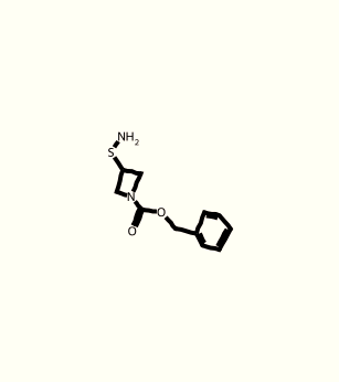 NSC1CN(C(=O)OCc2ccccc2)C1